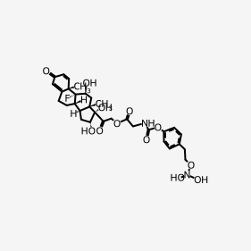 C[C@]12C=CC(=O)C=C1CC[C@H]1[C@@H]3C[C@@H](O)[C@](O)(C(=O)COC(=O)CNC(=O)Oc4ccc(CCON(O)O)cc4)[C@@]3(C)C[C@H](O)[C@@]12F